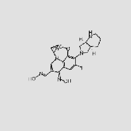 COc1c(N2C[C@@H]3CCCN[C@@H]3C2)c(F)cc2/c(=N\O)c(/C=N/O)cn(C3CC3)c12